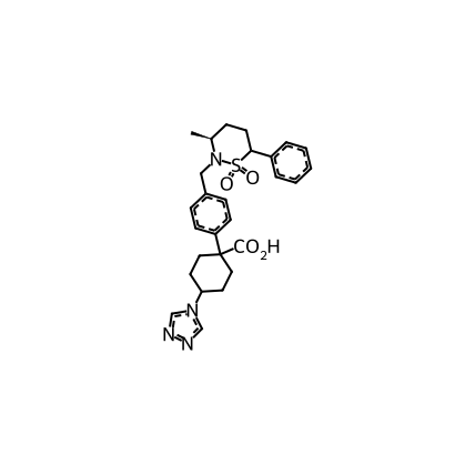 C[C@H]1CCC(c2ccccc2)S(=O)(=O)N1Cc1ccc(C2(C(=O)O)CCC(n3cnnc3)CC2)cc1